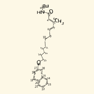 CCC(C)NC(=O)C=C(C)C=CCCCCCCCOc1ccc2ccccc2c1